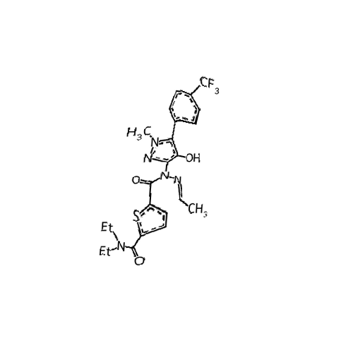 CC=NN(C(=O)c1ccc(C(=O)N(CC)CC)s1)c1nn(C)c(-c2ccc(C(F)(F)F)cc2)c1O